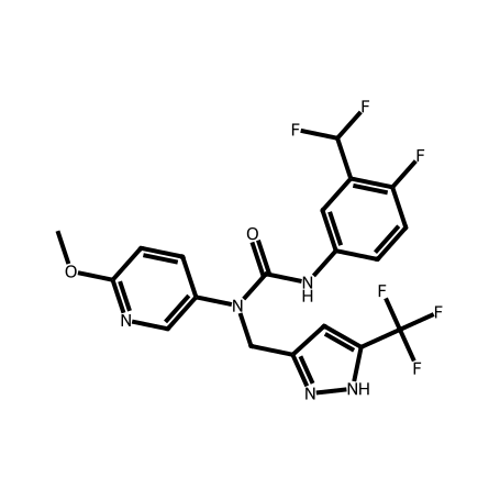 COc1ccc(N(Cc2cc(C(F)(F)F)[nH]n2)C(=O)Nc2ccc(F)c(C(F)F)c2)cn1